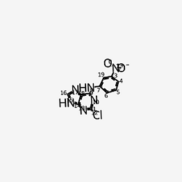 O=[N+]([O-])c1cccc(Nc2nc(Cl)nc3[nH]cnc23)c1